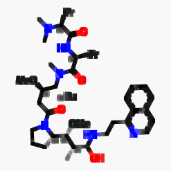 CC[C@H](C)C([C@@H](CC(=O)N1CCC[C@H]1[C@H](OC)[C@@H](C)C(O)NCCc1nccc2ccccc12)OC)N(C)C(=O)[C@@H](NC(=O)[C@H](C(C)C)N(C)C)C(C)C